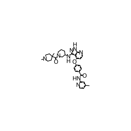 Cc1ccnc(NC(=O)c2ccc(Oc3ccnc4[nH]nc(NC5CCCN(C(=O)C6(C)CCN(C)CC6)C5)c34)cc2)c1